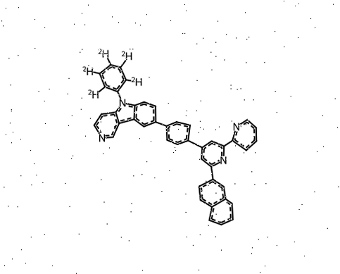 [2H]c1c([2H])c([2H])c(-n2c3ccncc3c3cc(-c4ccc(-c5cc(-c6ccc7ccccc7c6)nc(-c6ccccn6)c5)cc4)ccc32)c([2H])c1[2H]